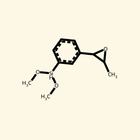 CO[SiH](OC)c1cccc(C2OC2C)c1